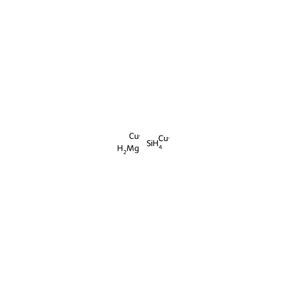 [Cu].[Cu].[MgH2].[SiH4]